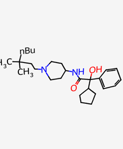 CCCCC(C)(C)CCN1CCC(NC(=O)C(O)(c2ccccc2)C2CCCC2)CC1